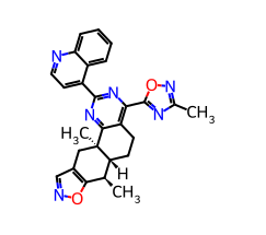 Cc1noc(-c2nc(-c3ccnc4ccccc34)nc3c2CC[C@@H]2[C@@H](C)c4oncc4C[C@@]32C)n1